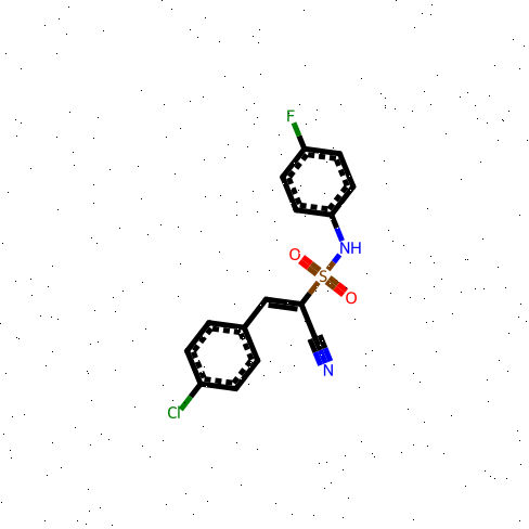 N#C/C(=C\c1ccc(Cl)cc1)S(=O)(=O)Nc1ccc(F)cc1